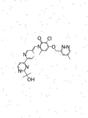 C\C=C(/N=C\C(C)=C\n1c(C)cc(OCc2cc(C)cnn2)c(Cl)c1=O)c1ccnc(C(C)(C)O)n1